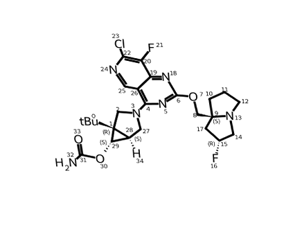 CC(C)(C)[C@@]12CN(c3nc(OC[C@@]45CCCN4C[C@H](F)C5)nc4c(F)c(Cl)ncc34)C[C@H]1[C@@H]2OC(N)=O